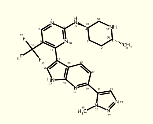 C[C@@H]1CC[C@@H](Nc2ncc(C(F)(F)F)c(-c3c[nH]c4nc(-c5cnnn5C)ccc34)n2)CN1